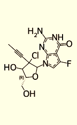 CC#CC1(Cl)C(O)[C@@H](CO)OC1n1cc(F)c2c(=O)[nH]c(N)nc21